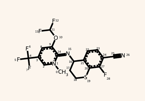 Cn1cc(C(F)(F)F)cc(OC(F)F)/c1=N/C1CCSc2c1ccc(C#N)c2F